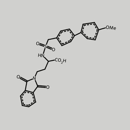 COc1ccc(-c2ccc(CS(=O)(=O)NC(CCN3C(=O)c4ccccc4C3=O)C(=O)O)cc2)cc1